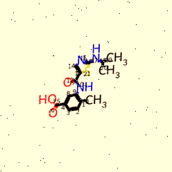 Cc1ccc(C(=O)O)cc1NC(=O)c1cnc(NC(C)C)s1